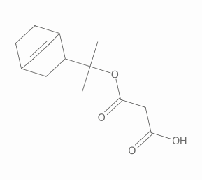 CC(C)(OC(=O)CC(=O)O)C1CC2C=CC1CC2